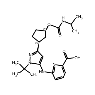 CC(C)NC(=O)O[C@@H]1CC[C@H](c2cc(Nc3cccc(C(=O)O)n3)n(C(C)(C)C)n2)C1